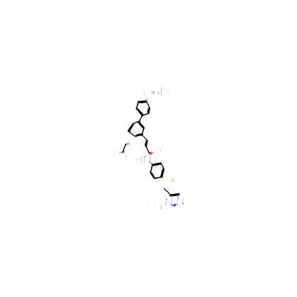 CCCCOc1ccc(-c2ccc(OCC(F)F)c(/C=C/C(=O)Nc3ccc([S@@+]([O-])Cc4cncn4CCC)cc3)c2)cc1